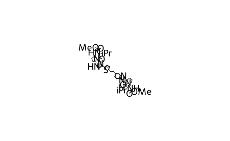 COC(=O)N[C@H](C(=O)N1CCC[C@H]1c1nc(-c2ccc(/C=C/c3ccc4[nH]c([C@@H]5CCCN5C(=O)[C@@H](NC(=O)OC)C(C)C)nc4c3)s2)c[nH]1)C(C)C